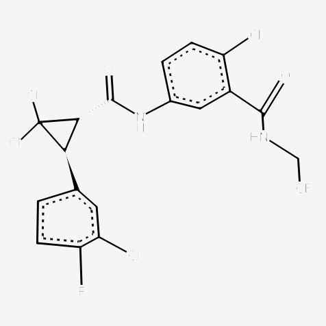 O=C(NCC(F)(F)F)c1cc(NC(=O)[C@@H]2[C@@H](c3ccc(F)c(Cl)c3)C2(Cl)Cl)ccc1Cl